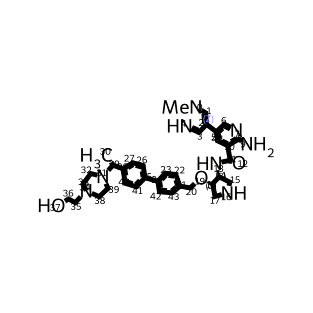 CN/C=C(\C=N)c1cnc(N)c(C(=O)N[C@H]2CNC[C@@H]2OCc2ccc(-c3ccc(C(C)N4CCN(CCO)CC4)cc3)cc2)c1